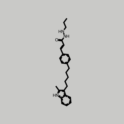 CCCNNC(=O)/C=C/c1ccc(CCCCCc2c(C)[nH]c3ccccc23)cc1